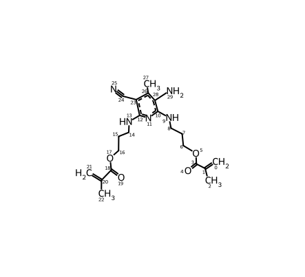 C=C(C)C(=O)OCCCNc1nc(NCCCOC(=O)C(=C)C)c(C#N)c(C)c1N